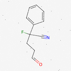 N#CC(F)(CCC=O)c1ccccc1